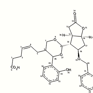 O=C(O)CC/C=C\CC1COC([C@@H]2[C@H]3CC(=O)O[C@H]3C[C@H]2OCc2ccccc2)OC1c1ccccc1O